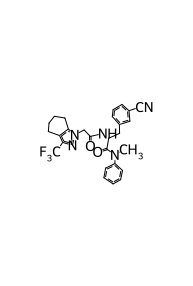 CN(C(=O)C(Cc1cccc(C#N)c1)NC(=O)Cn1nc(C(F)(F)F)c2c1CCCC2)c1ccccc1